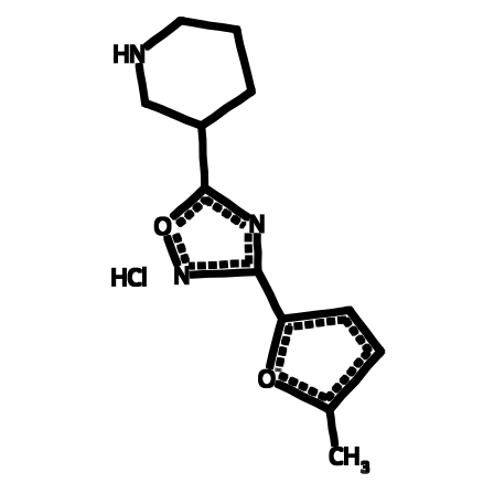 Cc1ccc(-c2noc(C3CCCNC3)n2)o1.Cl